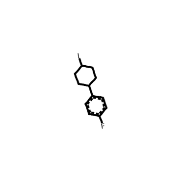 Fc1ccc(C2CCC(I)CC2)cc1